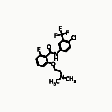 CN(C)CCOc1cccc(F)c1C(=O)Nc1ccc(Cl)c(C(F)(F)F)c1